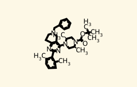 Cc1cccc(C)c1-c1nc2c(c(N3C[C@H](C)N(C(=O)OC(C)(C)C)C[C@H]3C)n1)CN(Cc1ccccc1)CC2